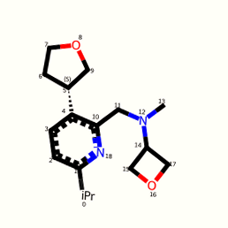 CC(C)c1ccc([C@@H]2CCOC2)c(CN(C)C2COC2)n1